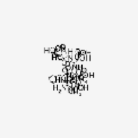 C[C@@H](OP(=O)(O)O)[C@H](N)C(=O)N[C@@H](Cc1ccccc1)C(=O)N[C@H](C(=O)N[C@@H](COP(=O)(O)O)C(=O)N[C@@H](CC(=O)OP(=O)(O)O)C(=O)O)[C@@H](C)OP(=O)(O)O